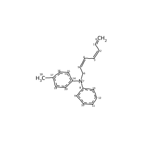 C=C/C=C\C=C/CN(c1ccccc1)c1ccc(C)cc1